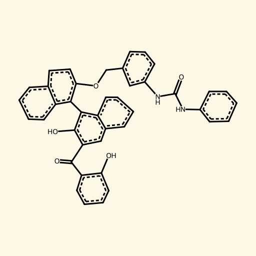 O=C(Nc1ccccc1)Nc1cccc(COc2ccc3ccccc3c2-c2c(O)c(C(=O)c3ccccc3O)cc3ccccc23)c1